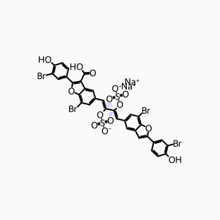 O=C(O)c1c(-c2ccc(O)c(Br)c2)oc2c(Br)cc(/C=C(OS(=O)(=O)[O-])/C(=C/c3cc(Br)c4oc(-c5ccc(O)c(Br)c5)cc4c3)OS(=O)(=O)[O-])cc12.[Na+].[Na+]